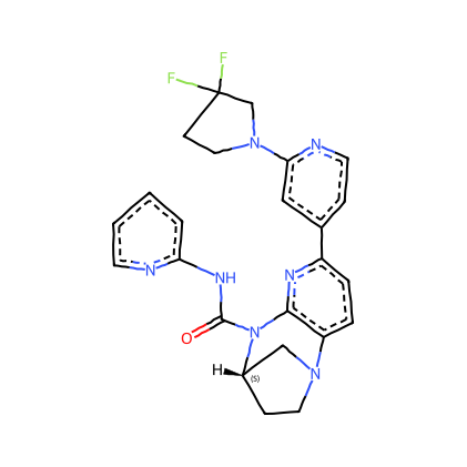 O=C(Nc1ccccn1)N1c2nc(-c3ccnc(N4CCC(F)(F)C4)c3)ccc2N2CC[C@H]1C2